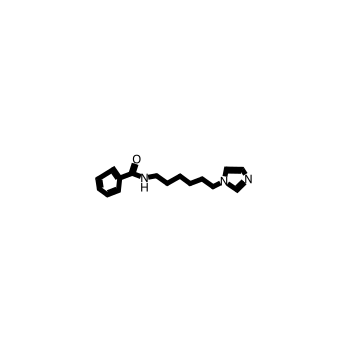 O=C(NCCCCCCn1ccnc1)c1ccccc1